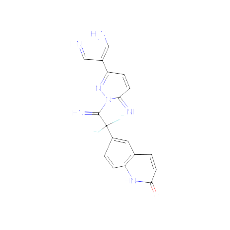 N=C/C(=C\N)c1ccc(=N)n(C(=N)C(F)(F)c2ccc3[nH]c(=O)ccc3c2)n1